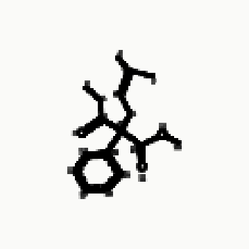 CCC(=O)C(CC=C(C)C)(C(=O)OC)c1ccccc1